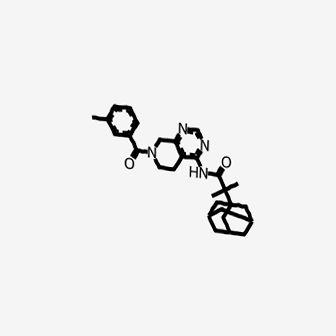 Cc1cccc(C(=O)N2CCc3c(ncnc3NC(=O)C(C)(C)C34CC5CC(CC(C5)C3)C4)C2)c1